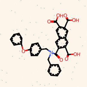 O=C(O)c1cc2cc(C(=O)O)c(C(=O)N(Cc3ccccc3)Cc3ccc(Oc4ccccc4)cc3)cc2cc1C(=O)O